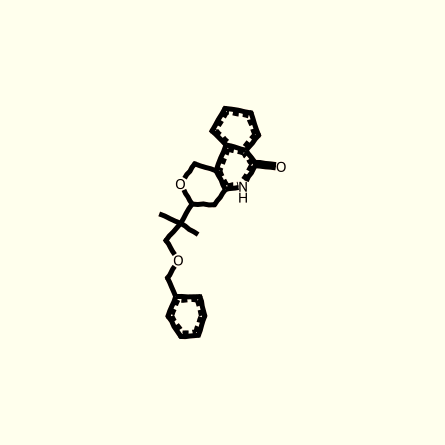 CC(C)(COCc1ccccc1)C1Cc2[nH]c(=O)c3ccccc3c2CO1